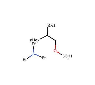 CCCCCCCCC(CCCCCC)COS(=O)(=O)O.CCN(CC)CC